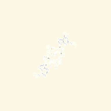 Nc1nc2c(ncn2[C@@H]2O[C@@H]3COP(=O)(O)OC4C(F)[C@H](n5cnc6c(N)ncnc65)O[C@@H]4CO[PH](=O)OC2C3O)c(=O)[nH]1